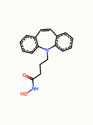 O=C(CCCN1c2ccccc2C=Cc2ccccc21)NO